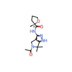 CC(=O)N1Cc2c(NC(=O)[C@]3(C)CCCO3)n[nH]c2C1(C)C